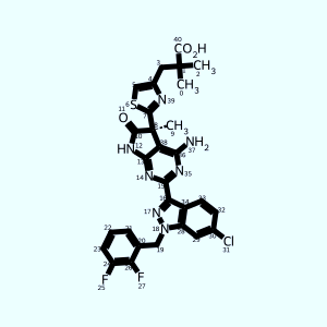 CC(C)(Cc1csc([C@]2(C)C(=O)Nc3nc(-c4nn(Cc5cccc(F)c5F)c5cc(Cl)ccc45)nc(N)c32)n1)C(=O)O